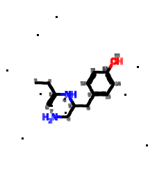 C=C(CC)NC(CN)Cc1ccc(O)cc1